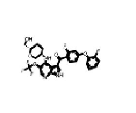 O=C(c1ccc(Oc2ccccc2F)cc1F)c1c[nH]c2ncc(OC(F)(F)F)c(N[C@@H]3CC[C@@H](CO)OC3)c12